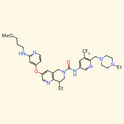 CCC1CN(C(=O)Nc2cnc(CN3CCN(CC)CC3)c(C(F)(F)F)c2)Cc2cc(Oc3ccnc(NCCCOC)c3)cnc21